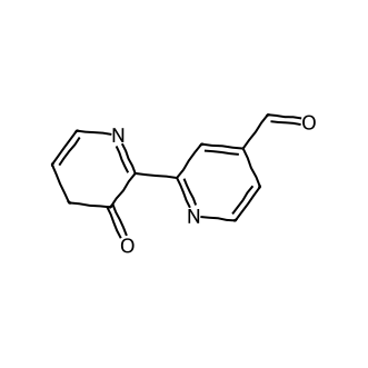 O=Cc1ccnc(C2=NC=CCC2=O)c1